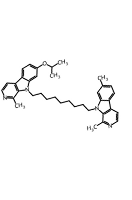 Cc1ccc2c3ccnc(C)c3n(CCCCCCCCCn3c4cc(OC(C)C)ccc4c4ccnc(C)c43)c2c1